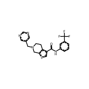 O=C(Nc1cccc(C(F)(F)F)c1)c1csc2c1CCN(Cc1cncnc1)C2